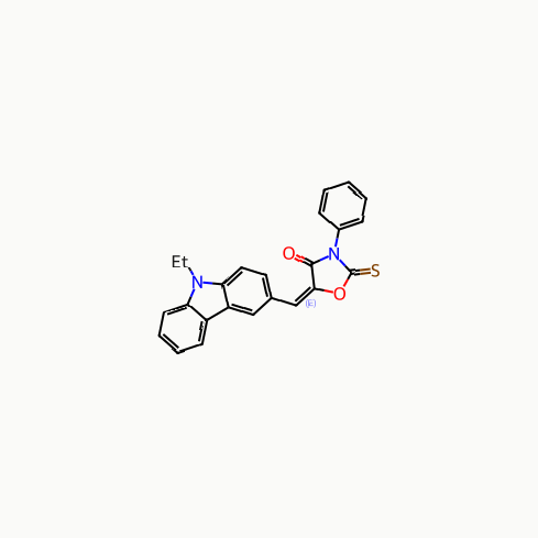 CCn1c2ccccc2c2cc(/C=C3/OC(=S)N(c4ccccc4)C3=O)ccc21